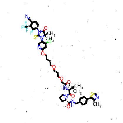 Cc1ncsc1-c1ccc(CNC(=O)[C@@H]2CCCN2C(=O)[C@@H](NC(=O)COCCCOCCCCOc2cc(Cl)c(N3C(=S)N(c4ccc(C#N)c(C(F)(F)F)c4F)C(=O)C3(C)C)cn2)C(C)(C)C)cc1